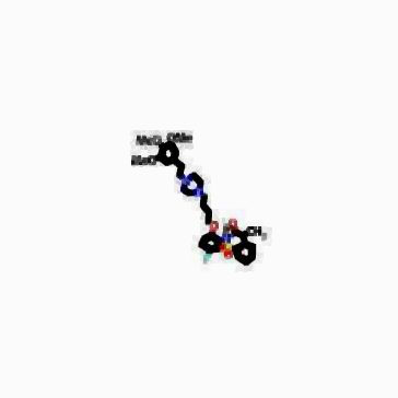 COc1cc(CCN2CCN(CCCCOc3ccc(F)cc3[N+]3(C(C)C)C(=O)C(C)c4ccccc4S3(=O)=O)CC2)cc(OC)c1OC